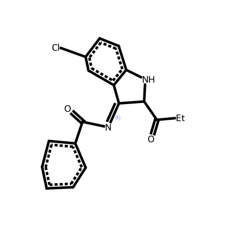 CCC(=O)C1Nc2ccc(Cl)cc2/C1=N\C(=O)c1ccccc1